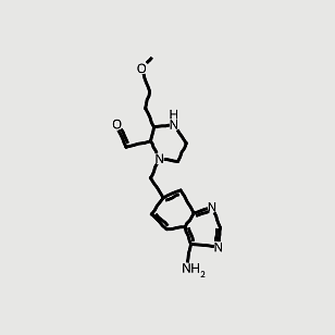 COCCC1NCCN(Cc2ccc3c(N)ncnc3c2)C1C=O